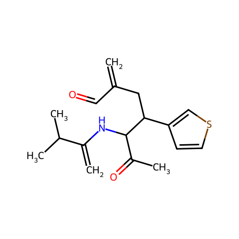 C=C(C=O)CC(c1ccsc1)C(NC(=C)C(C)C)C(C)=O